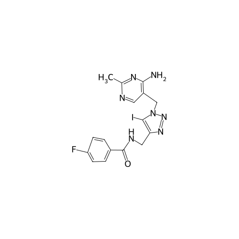 Cc1ncc(Cn2nnc(CNC(=O)c3ccc(F)cc3)c2I)c(N)n1